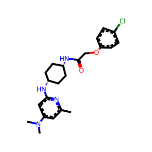 Cc1cc(N(C)C)cc(N[C@H]2CC[C@@H](NC(=O)COc3ccc(Cl)cc3)CC2)n1